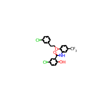 O=C(Nc1cc(C(F)(F)F)ccc1OCCc1cccc(Cl)c1)c1cc(Cl)ccc1O